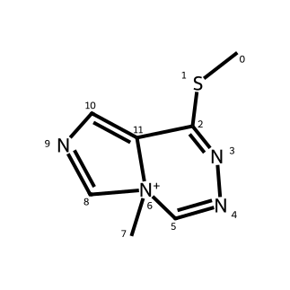 CSC1=NN=C[N+]2(C)C=NC=C12